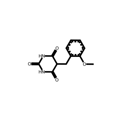 COc1ccccc1CC1C(=O)NC(=O)NC1=O